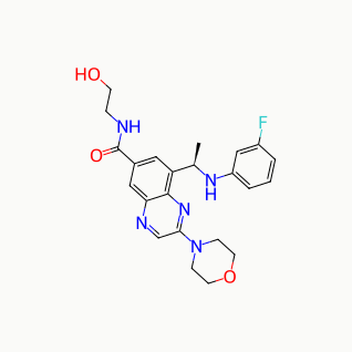 C[C@@H](Nc1cccc(F)c1)c1cc(C(=O)NCCO)cc2ncc(N3CCOCC3)nc12